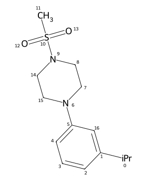 CC(C)c1cccc(N2CCN(S(C)(=O)=O)CC2)c1